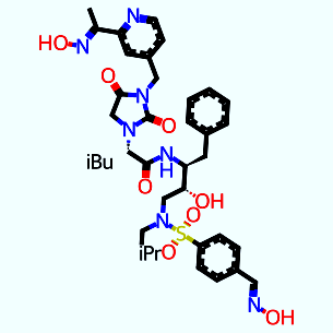 CC[C@H](C)[C@@H](C(=O)N[C@@H](Cc1ccccc1)[C@H](O)CN(CC(C)C)S(=O)(=O)c1ccc(C=NO)cc1)N1CC(=O)N(Cc2ccnc(C(C)=NO)c2)C1=O